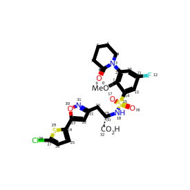 COc1c(N2CCCCC2=O)cc(F)cc1S(=O)(=O)N[C@@H](Cc1cc(-c2ccc(Cl)s2)on1)C(=O)O